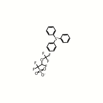 O=S(=O)([O-])C(F)(F)C(F)OC(F)(F)F.c1ccc([S+](c2ccccc2)c2ccccc2)cc1